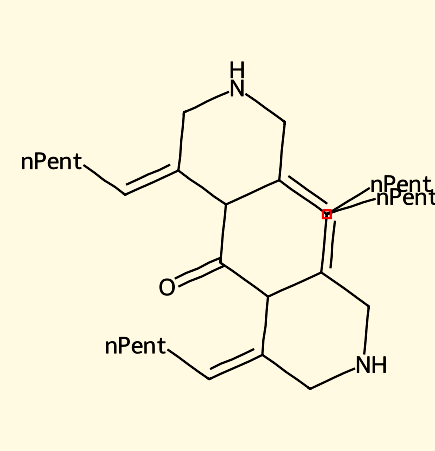 CCCCCC=C1CNCC(=CCCCCC)C1C(=O)C1C(=CCCCCC)CNCC1=CCCCCC